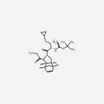 COC(=O)[C@@H]1[C@@H]2[C@H](CN1C(=O)[C@@H](NC(=O)OC(C)(C)C)[C@@H](C)OC1CC1)[C@@H]1C=C[C@H]2C1